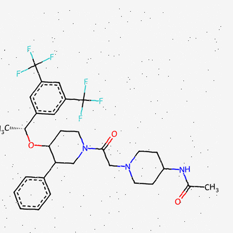 CC(=O)NC1CCN(CC(=O)N2CCC(O[C@H](C)c3cc(C(F)(F)F)cc(C(F)(F)F)c3)C(c3ccccc3)C2)CC1